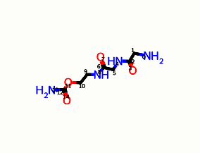 NCC(=O)NCC(=O)NCCOC(N)=O